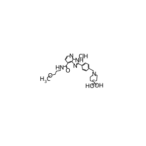 COCCCNC(=O)c1ccnc2[nH]c(-c3ccc(CN4CCS(O)(O)CC4)cc3)nc12.Cl